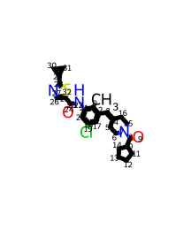 Cc1c(C=C2CCN(C(=O)C3CCCC3)CC2)cc(Cl)cc1NC(=O)c1cnc(C2CC2)s1